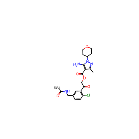 Cc1nn(C2CCOCC2)c(N)c1C(=O)OCC(=O)c1cc(CNC(=O)C(C)(C)C)ccc1Cl